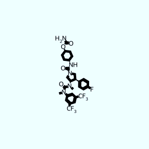 CN(C(=O)N(C)[C@@H]1CN(C(=O)N[C@H]2CC[C@H](OC(N)=O)CC2)C[C@H]1c1ccc(F)cc1)c1cc(C(F)(F)F)cc(C(F)(F)F)c1